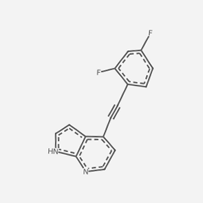 Fc1ccc(C#Cc2ccnc3[nH]ccc23)c(F)c1